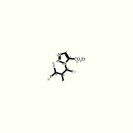 CCOC(=O)c1cnnn1C(F)C(C)C(F)F